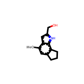 COc1cc2c(c3[nH]c(CO)cc13)CCC2